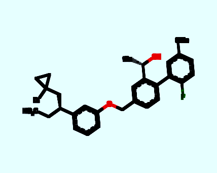 CCC1(C[C@H](CC(=O)O)c2cccc(OCc3ccc(-c4cc(OC)ccc4F)c([C@@H](O)C(C)(C)C)c3)c2)CC1